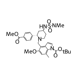 CNS(=O)(=O)N[C@H]1CCN(Cc2c(OC)cc(C)c3c2ccn3C(=O)OC(C)(C)C)[C@H](c2ccc(C(=O)OC)cc2)C1